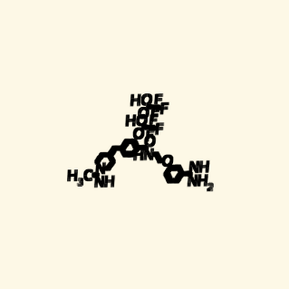 CC(=N)N1CCC(=Cc2ccc(C(=O)NCCOc3cccc(C(=N)N)c3)cc2)CC1.O=C(O)C(F)(F)F.O=C(O)C(F)(F)F